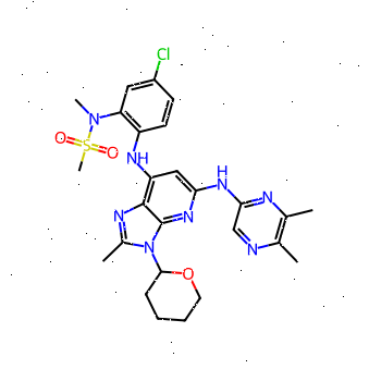 Cc1ncc(Nc2cc(Nc3ccc(Cl)cc3N(C)S(C)(=O)=O)c3nc(C)n(C4CCCCO4)c3n2)nc1C